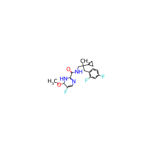 COC1NC(C(=O)NCC(C)(Cc2ccc(F)cc2F)C2CC2)=NC=C1F